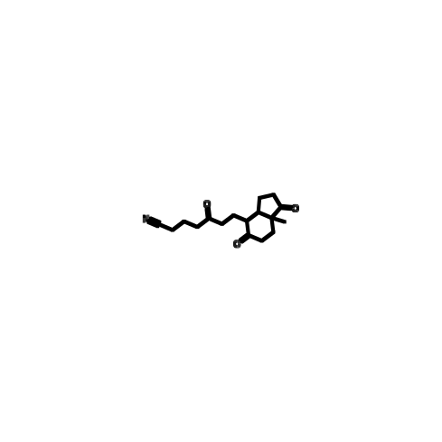 CC12CCC(=O)C(CCC(=O)CCCC#N)C1CCC2=O